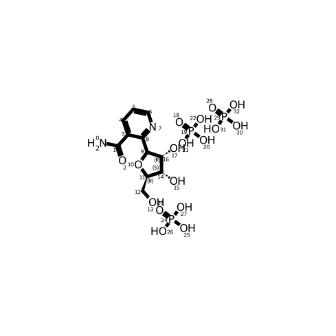 NC(=O)c1cccnc1C1O[C@H](CO)[C@@H](O)[C@H]1O.O=P(O)(O)O.O=P(O)(O)O.O=P(O)(O)O